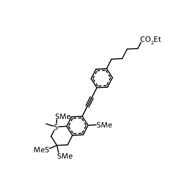 CCOC(=O)CCCCc1ccc(C#Cc2cc3c(cc2SC)CC(SC)(SC)CS3(C)SC)cc1